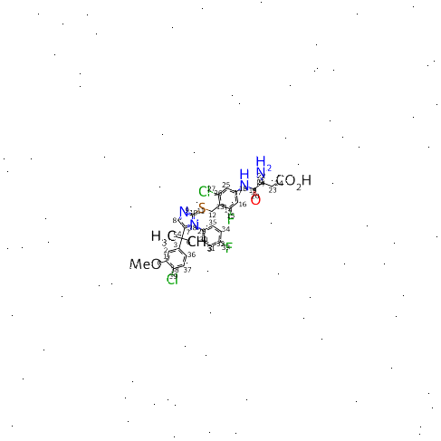 COc1cc(C(C)(C)c2cnc(SCc3c(F)cc(NC(=O)[C@@H](N)CC(=O)O)cc3Cl)n2-c2ccc(F)cc2)ccc1Cl